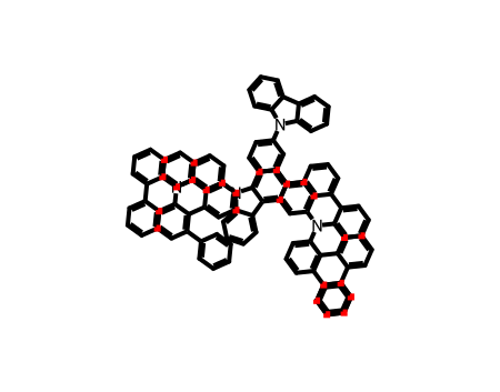 c1ccc(-c2ccccc2-c2c(-c3ccccc3)cccc2N(c2ccc(-c3cccc(-n4c5ccccc5c5ccccc54)c3)cc2)c2ccccc2-c2cccc(-c3ccc4c(c3)c3ccccc3n4-c3cccc(N(c4ccccc4-c4ccccc4)c4cccc(-c5ccccc5)c4-c4ccccc4-c4ccccc4)c3)c2)cc1